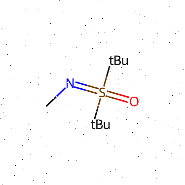 CN=S(=O)(C(C)(C)C)C(C)(C)C